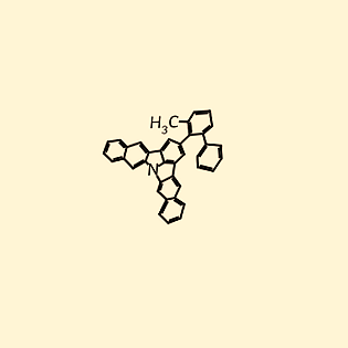 Cc1cccc(-c2ccccc2)c1-c1cc2c3cc4ccccc4cc3n3c4cc5ccccc5cc4c(c1)c23